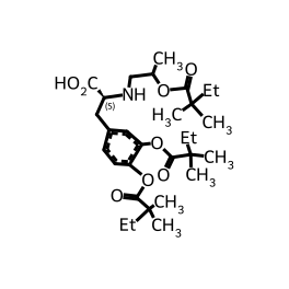 CCC(C)(C)C(=O)Oc1ccc(C[C@H](NCC(C)OC(=O)C(C)(C)CC)C(=O)O)cc1OC(=O)C(C)(C)CC